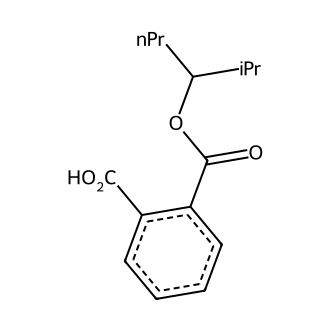 CCCC(OC(=O)c1ccccc1C(=O)O)C(C)C